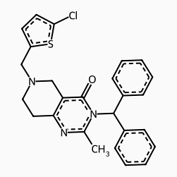 Cc1nc2c(c(=O)n1C(c1ccccc1)c1ccccc1)CN(Cc1ccc(Cl)s1)CC2